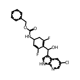 O=C(NC1C=C(F)C(C(O)c2c[nH]c3ncc(Cl)cc23)=C(F)C1)OCc1ccccc1